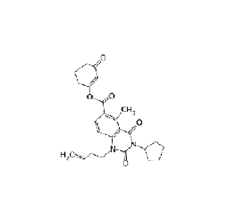 C=CCCn1c(=O)n(C2CCCC2)c(=O)c2c(C)c(C(=O)OC3=CC(=O)CCC3)ccc21